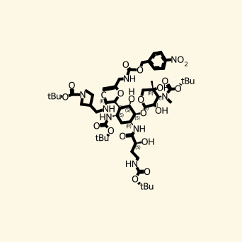 CN(C(=O)OC(C)(C)C)[C@@H]1[C@@H](O)[C@@H](O[C@@H]2[C@@H](O)[C@H](C3OC(CNC(=O)OCc4ccc([N+](=O)[O-])cc4)=CC[C@H]3NCC3CCN(C(=O)OC(C)(C)C)C3)[C@@H](NC(=O)OC(C)(C)C)C[C@H]2NC(=O)[C@@H](O)CCNC(=O)OC(C)(C)C)OC[C@]1(C)O